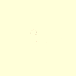 CC(C)CCc1cccc(C(OCCOC(C)C)C(C)[Si](C)(C)C)c1